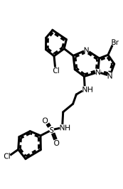 O=S(=O)(NCCCNc1cc(-c2ccccc2Cl)nc2c(Br)cnn12)c1ccc(Cl)cc1